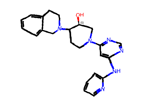 O[C@H]1CN(c2cc(Nc3ccccn3)ncn2)CCC1N1CCc2ccccc2C1